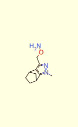 Cn1nc(CON)c2c1C1CCC2C1